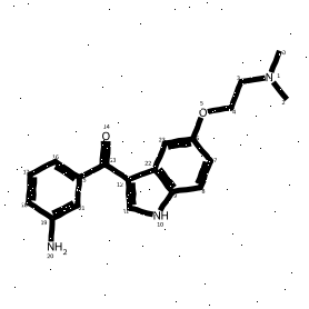 CN(C)CCOc1ccc2[nH]cc(C(=O)c3cccc(N)c3)c2c1